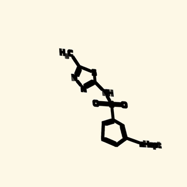 CCCCCCCc1cccc(S(=O)(=O)Nc2nnc(C)s2)c1